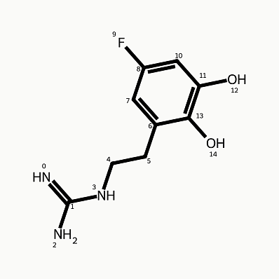 N=C(N)NCCc1cc(F)cc(O)c1O